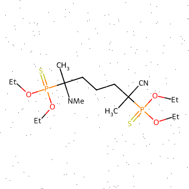 CCOP(=S)(OCC)C(C)(C#N)CCCC(C)(NC)P(=S)(OCC)OCC